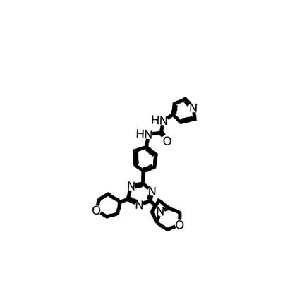 O=C(Nc1ccncc1)Nc1ccc(-c2nc(C3CCOCC3)nc(N3C4CCC3COC4)n2)cc1